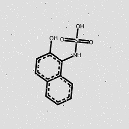 O=S(=O)(O)Nc1c(O)ccc2ccccc12